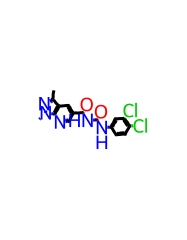 Cc1nn(C)c2ncc(C(=O)NC(=O)Nc3ccc(Cl)c(Cl)c3)cc12